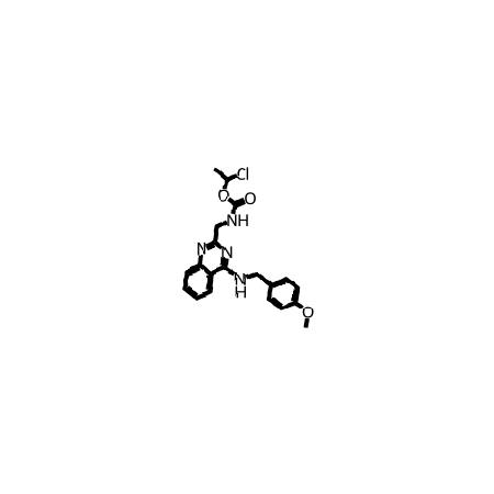 COc1ccc(CNc2nc(CNC(=O)OC(C)Cl)nc3ccccc23)cc1